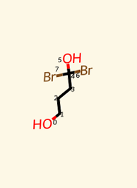 OCCCC(O)(Br)Br